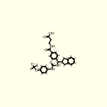 O=C(O)CCNC(=O)c1ccc(C(NC(=O)Nc2ccc(OC(F)(F)F)cc2)C2Cc3ccccc3C2)cc1